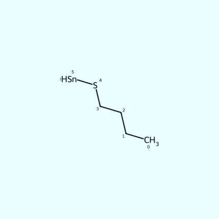 CCCC[S][SnH]